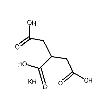 O=C(O)CC(CC(=O)O)C(=O)O.[KH]